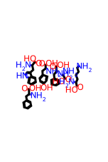 NC(Cc1c[nH]c2ccccc12)C(=O)O.NC(Cc1ccc(O)cc1)C(=O)O.NC(Cc1ccccc1)C(=O)O.NC(Cc1ccccc1)C(=O)O.NCC(=O)O.NCCCCC(N)C(=O)O